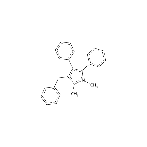 Cc1n(C)c(-c2ccccc2)c(-c2ccccc2)[n+]1Cc1ccccc1